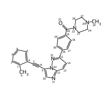 Cc1ccccc1C#Cc1cnc2ccc(-c3ccc(C(=O)N4CCN(C)CC4)cc3)nn12